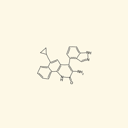 Nc1c(-c2cccc3[nH]ncc23)c2cc(C3CC3)c3ccccc3c2[nH]c1=O